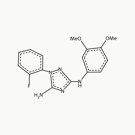 COc1ccc(Nc2nc(N)n(-c3ccccc3F)n2)cc1OC